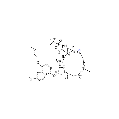 COCCOc1cnc(O[C@@H]2C[C@H]3C(=O)N[C@]4(C(=O)NS(=O)(=O)C5(C)CC5)C[C@H]4/C=C\CC[C@@H](C)C[C@@H](C)CC(=O)N3C2)c2ccc(OC)cc12